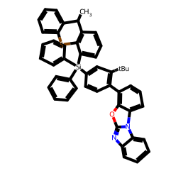 CC1c2ccccc2Sc2c1cccc2[Si](c1ccccc1)(c1ccccc1)c1ccc(-c2cccc3c2oc2nc4ccccc4n23)c(C(C)(C)C)c1